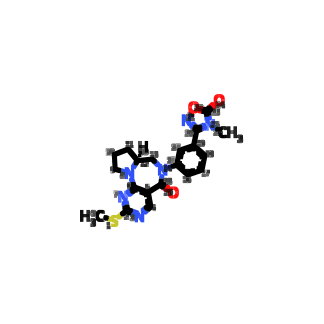 CSc1ncc2c(n1)N1CCC[C@H]1CN(c1cccc(-c3noc(=O)n3C)c1)C2=O